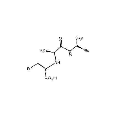 CC[C@H](C)[C@H](NC(=O)[C@H](C)NC(CC(C)C)C(=O)O)C(=O)O